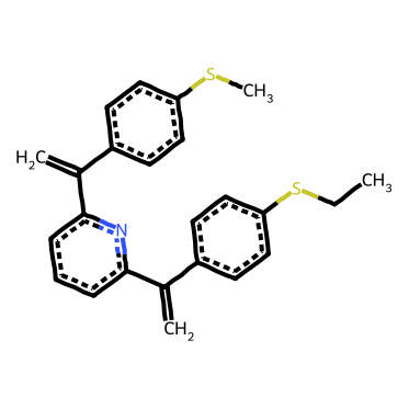 C=C(c1ccc(SC)cc1)c1cccc(C(=C)c2ccc(SCC)cc2)n1